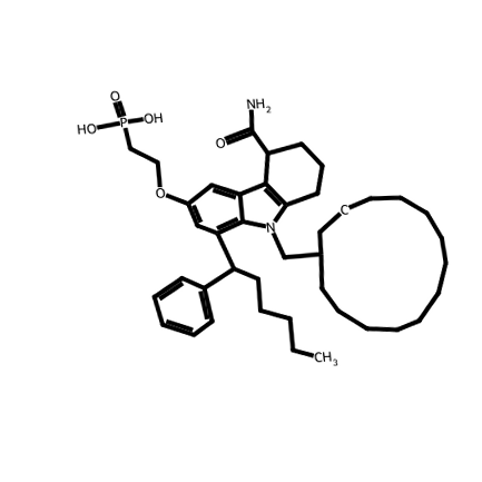 CCCCCC(c1ccccc1)c1cc(OCCP(=O)(O)O)cc2c3c(n(CC4CCCCCCCCCCCCC4)c12)CCCC3C(N)=O